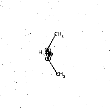 CCCCCCCCCCCCCCCCCCS(=O)(=O)CCCOP(=O)(OCCCS(=O)(=O)CCCCCCCCCCCCCCCCCC)C(=O)OCC